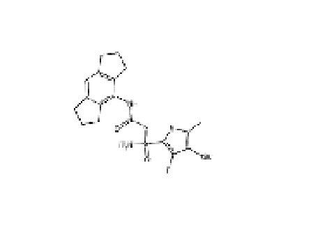 Cc1sc(S(N)(=O)=NC(=O)Nc2c3c(cc4c2CCC4)CCC3)c(F)c1C(C)(C)C